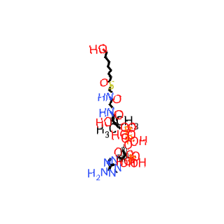 CC(C)(COP(=O)(O)OP(=O)(O)OC[C@H]1O[C@@H](n2cnc3c(N)ncnc32)[C@H](O)[C@@H]1OP(=O)(O)O)[C@@H](O)C(=O)NCCC(=O)NCCSC(=O)CCCCCCCO